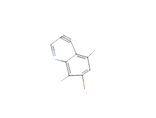 Oc1c(Br)cc(Br)c2c#ccnc12